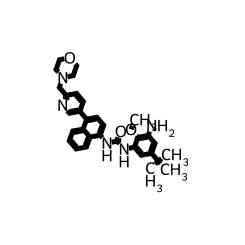 COc1c(N)cc(C(C)(C)C)cc1NC(=O)Nc1ccc(-c2ccc(CN3CCOCC3)nc2)c2ccccc12